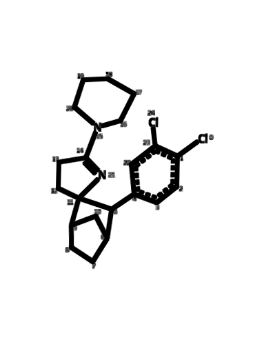 Clc1ccc(C2C3CCC(C3)C23CCC(N2CCCCC2)=N3)cc1Cl